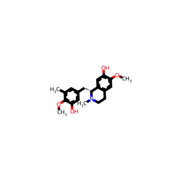 COc1cc2c(cc1O)[C@@H](Cc1cc(C)c(OC)c(O)c1)N(C)CC2